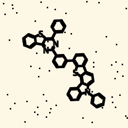 c1ccc(-c2nc(-c3cccc(-c4cccc5c4sc4c5ccc5c4c4ccccc4n5-c4ccccc4)c3)nc3c2sc2ccccc23)cc1